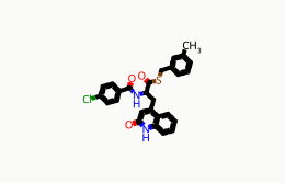 Cc1cccc(CSC(=O)C(Cc2cc(=O)[nH]c3ccccc23)NC(=O)c2ccc(Cl)cc2)c1